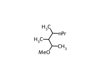 CCCC(C)C(C)C(C)OC